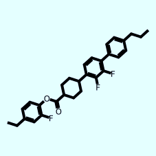 CCCc1ccc(-c2ccc(C3CCC(C(=O)Oc4ccc(CC)cc4F)CC3)c(F)c2F)cc1